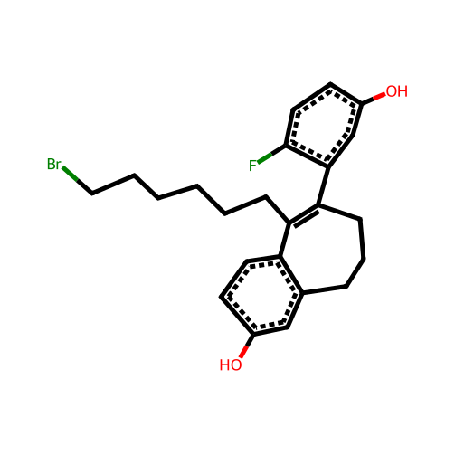 Oc1ccc2c(c1)CCCC(c1cc(O)ccc1F)=C2CCCCCCBr